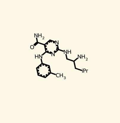 Cc1cccc(Nc2nc(NCC(N)CC(C)C)ncc2C(N)=O)c1